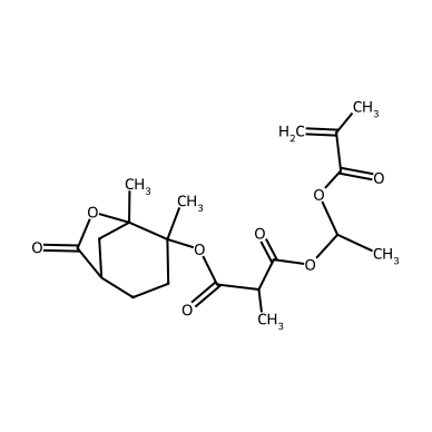 C=C(C)C(=O)OC(C)OC(=O)C(C)C(=O)OC1(C)CCC2CC1(C)OC2=O